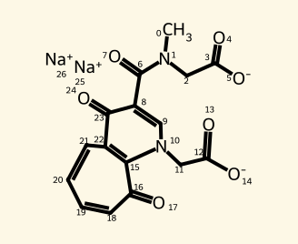 CN(CC(=O)[O-])C(=O)c1cn(CC(=O)[O-])c2c(=O)ccccc2c1=O.[Na+].[Na+]